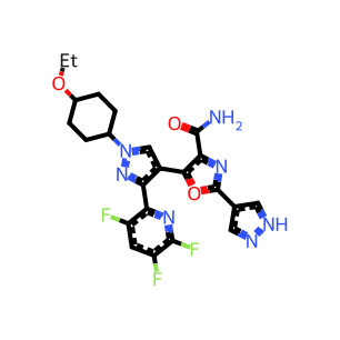 CCOC1CCC(n2cc(-c3oc(-c4cn[nH]c4)nc3C(N)=O)c(-c3nc(F)c(F)cc3F)n2)CC1